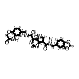 O=C1COc2ccc(CNC(=O)c3ncnc4c(C(=O)NCc5ccc6c(c5)OCO6)c[nH]c34)cc2N1